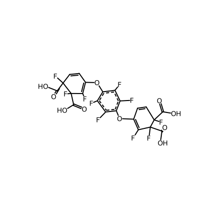 O=C(O)C1(F)C=CC(Oc2c(F)c(F)c(OC3=C(F)C(F)(C(=O)O)C(F)(C(=O)O)C=C3)c(F)c2F)=C(F)C1(F)C(=O)O